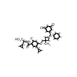 CC1(COc2cc(F)c(C(=O)NC(C(=O)O)C3CC3)cc2C2CC2)CN([C@@H](c2ccccc2)c2cc(Cl)cc(Cl)c2)C1